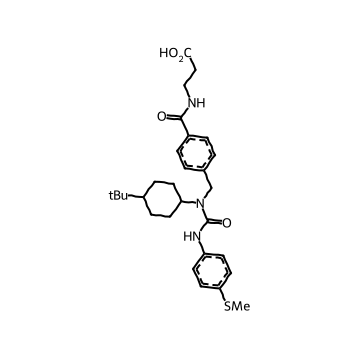 CSc1ccc(NC(=O)N(Cc2ccc(C(=O)NCCC(=O)O)cc2)C2CCC(C(C)(C)C)CC2)cc1